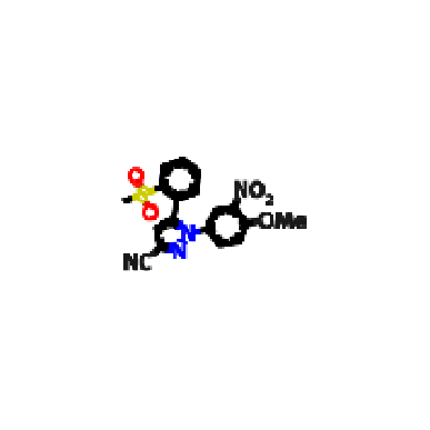 COc1ccc(-n2nc(C#N)cc2-c2ccccc2S(C)(=O)=O)cc1[N+](=O)[O-]